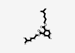 CC(C)CCCCOC(=O)C1CCC(C)CC1C(=O)OCCCCC(C)C